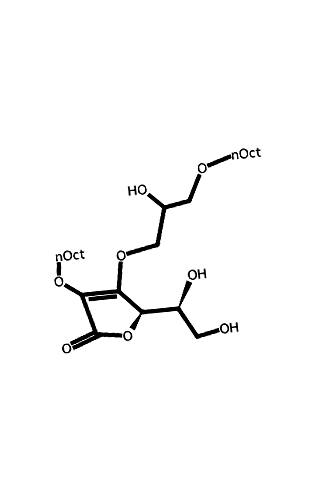 CCCCCCCCOCC(O)COC1=C(OCCCCCCCC)C(=O)O[C@@H]1[C@@H](O)CO